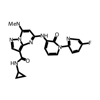 CNc1cc(Nc2cccn(-c3ccc(F)cn3)c2=O)nc2c(C(=O)NC3CC3)cnn12